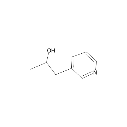 CC(O)Cc1cccnc1